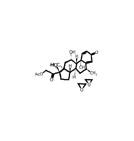 C1CO1.C1CO1.CC(=O)OCC(=O)[C@@]1(O)CC[C@H]2[C@@H]3C[C@H](C)C4=CC(=O)C=C[C@]4(C)[C@H]3[C@@H](O)C[C@@]21C